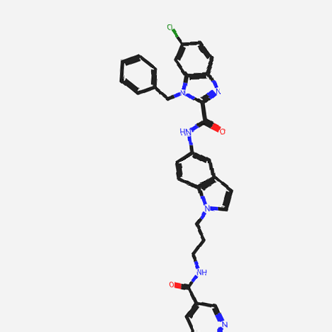 O=C(NCCCn1ccc2cc(NC(=O)c3nc4ccc(Cl)cc4n3Cc3ccccc3)ccc21)c1cccnc1